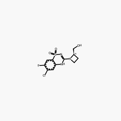 O=S1(=O)N=C(N2CC[C@@H]2CO)Nc2cc(Cl)c(F)cc21